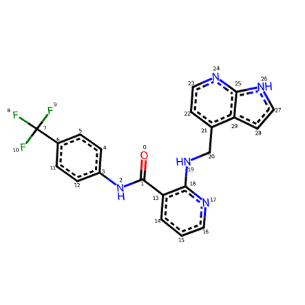 O=C(Nc1ccc(C(F)(F)F)cc1)c1cccnc1NCc1ccnc2[nH]ccc12